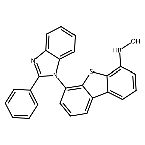 OBc1cccc2c1sc1c(-n3c(-c4ccccc4)nc4ccccc43)cccc12